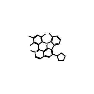 Cc1cc(C)c2c(c1C)c1c3c(cc[n+]1C)cc(C1CCCC1)c1c4cccc(C)c4n2c13